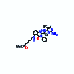 CC[C@H](Nc1nc(N)nc(C)c1C#N)c1nc2cccc(NCCCCCC(=O)OC)c2c(=O)n1-c1ccccc1